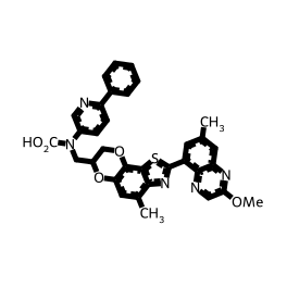 COc1cnc2c(-c3nc4c(C)cc5c(c4s3)OCC(CN(C(=O)O)c3ccc(-c4ccccc4)nc3)O5)cc(C)cc2n1